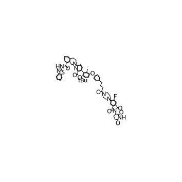 Cc1c(Oc2ccc(CCCC(=O)N3CCN(c4cc5c(cc4F)C(=O)N(C4CCC(=O)NC4=O)C5=O)CC3)cc2)cccc1-c1ccc(N2CCc3cccc(C(=O)Nc4nc5ccccc5s4)c3C2)nc1C(=O)OC(C)(C)C